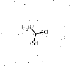 BC(S)Cl